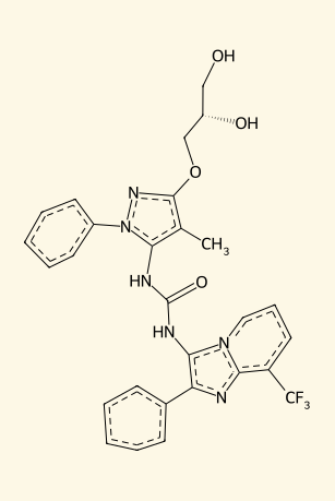 Cc1c(OC[C@@H](O)CO)nn(-c2ccccc2)c1NC(=O)Nc1c(-c2ccccc2)nc2c(C(F)(F)F)cccn12